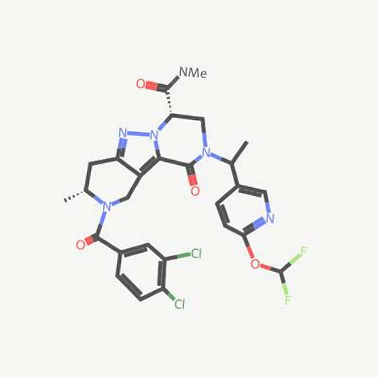 CNC(=O)[C@@H]1CN(C(C)c2ccc(OC(F)F)nc2)C(=O)c2c3c(nn21)C[C@@H](C)N(C(=O)c1ccc(Cl)c(Cl)c1)C3